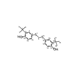 CC(C)(C)c1cc(SCSc2ccc(O)c(C(C)(C)C)c2)ccc1O